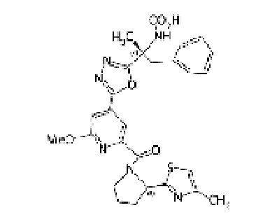 COc1cc(-c2nnc([C@@](C)(Cc3ccccc3)NC(=O)O)o2)cc(C(=O)N2CCC[C@@H]2c2nc(C)cs2)n1